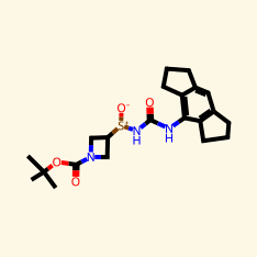 CC(C)(C)OC(=O)N1CC([S+]([O-])NC(=O)Nc2c3c(cc4c2CCC4)CCC3)C1